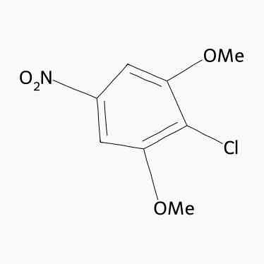 COc1cc([N+](=O)[O-])cc(OC)c1Cl